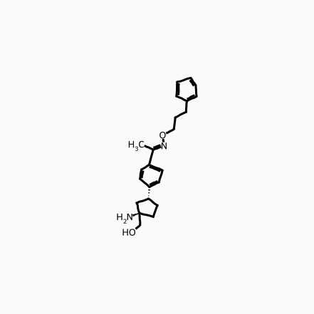 C/C(=N\OCCCc1ccccc1)c1ccc([C@@H]2CC[C@](N)(CO)C2)cc1